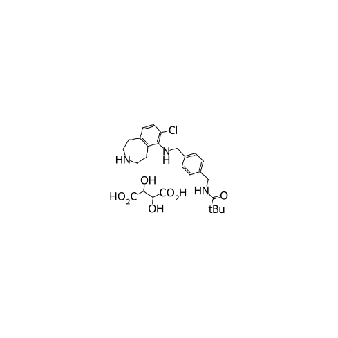 CC(C)(C)C(=O)NCc1ccc(CNc2c(Cl)ccc3c2CCNCC3)cc1.O=C(O)C(O)C(O)C(=O)O